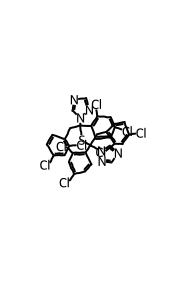 Clc1ccc(CC(SC(Cc2ccc(Cl)cc2Cl)(c2ccc(Cl)cc2Cl)n2cncn2)(c2ccc(Cl)cc2Cl)n2cncn2)c(Cl)c1